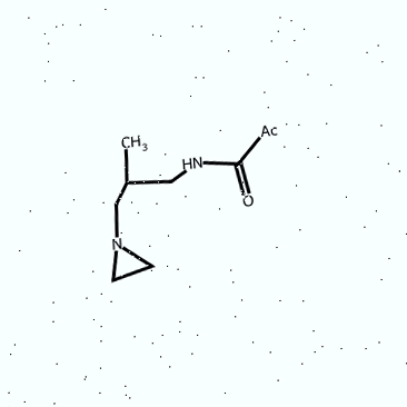 CC(=O)C(=O)NCC(C)CN1CC1